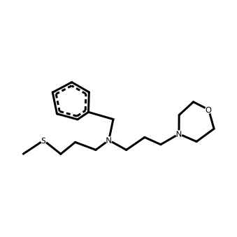 CSCCCN(CCCN1CCOCC1)Cc1ccccc1